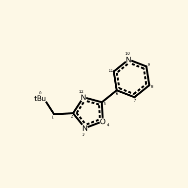 CC(C)(C)Cc1noc(-c2cccnc2)n1